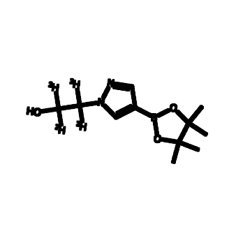 [2H]C([2H])(O)C([2H])([2H])n1cc(B2OC(C)(C)C(C)(C)O2)cn1